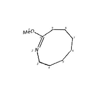 COC1=NCCCCCCC1